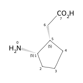 N[C@H]1CCC[C@H]1CC(=O)O